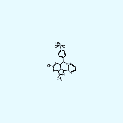 Cn1nc(-c2ccccn2)c2c(C(N)c3ccc(S(=O)(=O)O)cc3)nc(Cl)nc21